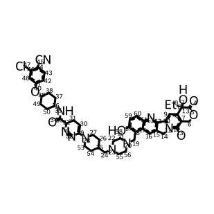 CC[C@@]1(O)C(=O)OCc2c1cc1n(c2=O)Cc2cc3c(CN4CCN(CC5CCN(C6=CCC(C(=O)N[C@H]7CC[C@H](Oc8ccc(C#N)c(Cl)c8)CC7)N=N6)CC5)CC4)c(O)ccc3nc2-1